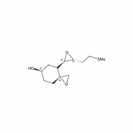 CSCC[C@H]1O[C@@H]1C1C[C@H](O)CC[C@]12CO2